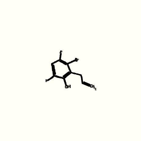 C=CCc1c(O)c(F)cc(F)c1Br